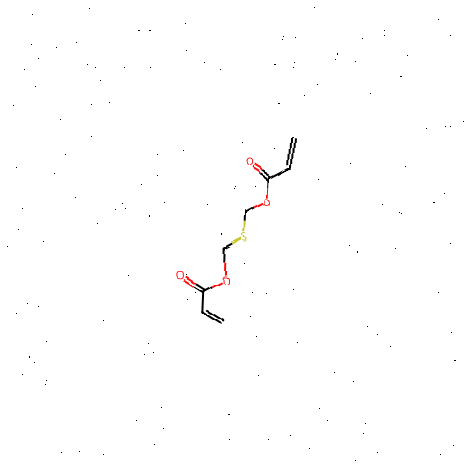 C=CC(=O)OCSCOC(=O)C=C